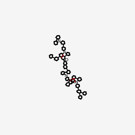 c1ccc(-c2cccc(-c3ccc(N(c4ccc(-c5cccc(-n6c7ccccc7c7ccccc76)c5)cc4)c4ccccc4-c4cccc5c4oc4cc6cc(-c7cccc8c7c7ccccc7n8-c7cccc(-c8ccc(N(c9ccc(-c%10ccc(-c%11ccccc%11)c(-c%11ccccc%11)c%10)cc9)c9ccccc9-c9cccc%10c9oc9cc%11ccccc%11cc9%10)cc8)c7)ccc6cc45)cc3)c2)cc1